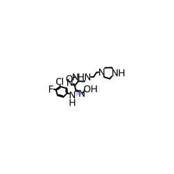 O/N=C(/Nc1ccc(F)c(Cl)c1)c1nonc1CNCCN1CCNCC1